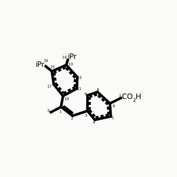 CC(=Cc1ccc(C(=O)O)cc1)c1ccc(C(C)C)c(C(C)C)c1